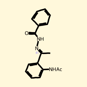 CC(=O)Nc1ccccc1/C(C)=N/NC(=O)c1ccccc1